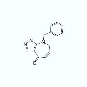 Cn1ncc2c1N(Cc1ccccc1)CC=CC2=O